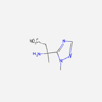 Cn1ncnc1C(C)(N)CC(=O)O